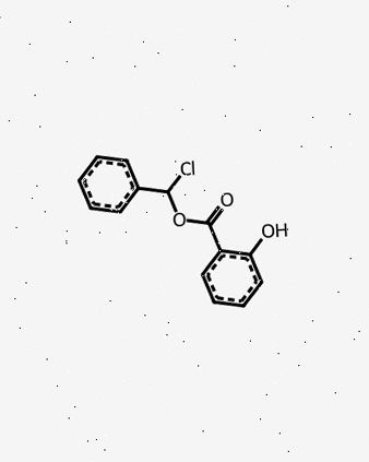 O=C(OC(Cl)c1ccccc1)c1ccccc1O